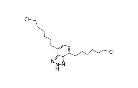 ClCCCCCCc1ccc(CCCCCCCl)c2n[nH]nc12